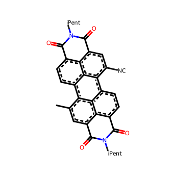 [C-]#[N+]c1cc2c3c(ccc4c5c(C)cc6c7c(ccc(c1c34)c75)C(=O)N(C(C)CCC)C6=O)C(=O)N(C(C)CCC)C2=O